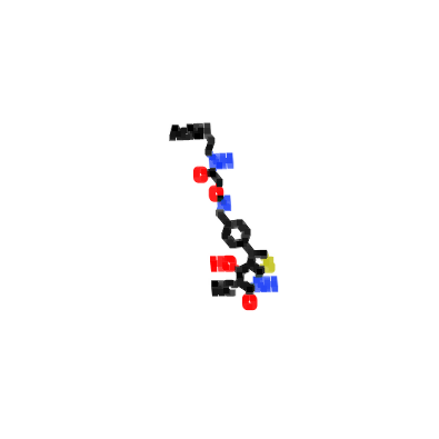 CC(=O)NCCNC(=O)CO/N=C/c1ccc(-c2csc3[nH]c(=O)c(C#N)c(O)c23)cc1